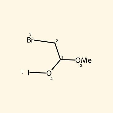 COC(CBr)OI